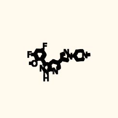 COc1c(F)cc(F)cc1-c1n[nH]c2ncc(-c3cnn(C4CCN(C)CC4)c3)cc12